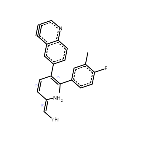 CCC/C=C(N)/C=C\C(=C(/C)c1ccc(F)c(C)c1)c1ccc2ncc#cc2c1